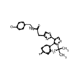 CC(C)(C)n1ncc(-c2nc(CC(=O)NCc3ccc(Cl)cc3)cs2)c1-c1ccc(F)cc1